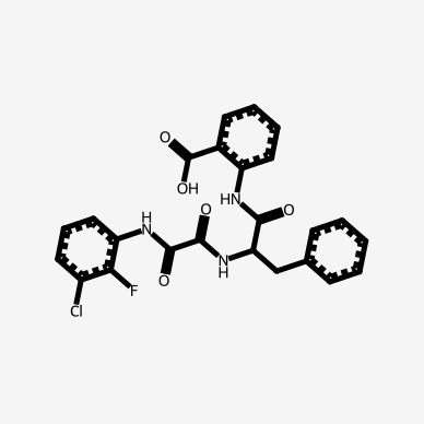 O=C(Nc1cccc(Cl)c1F)C(=O)NC(Cc1ccccc1)C(=O)Nc1ccccc1C(=O)O